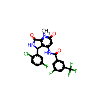 Cn1c2c(c(NC(=O)c3cc(F)cc(C(F)(F)F)c3)cc1=O)C(c1cc(F)ccc1Cl)NC2=O